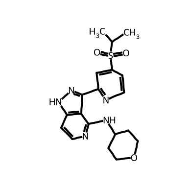 CC(C)S(=O)(=O)c1ccnc(-c2n[nH]c3ccnc(NC4CCOCC4)c23)c1